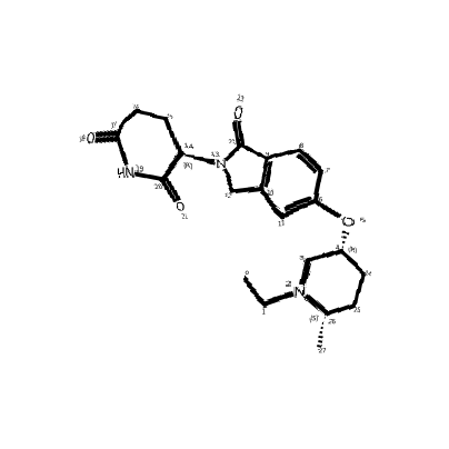 CCN1C[C@H](Oc2ccc3c(c2)CN([C@@H]2CCC(=O)NC2=O)C3=O)CC[C@@H]1C